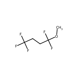 COC(F)(F)CCC(F)(F)F